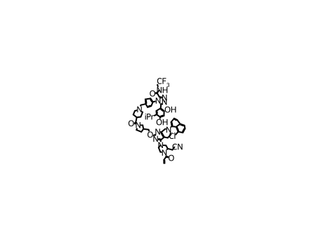 C=CC(=O)N1CCN(c2nc(OCC3CCN(C(=O)C4CCN(Cc5ccc(-n6c(C(=O)NCC(F)(F)F)nnc6-c6cc(C(C)C)c(O)cc6O)cc5)CC4)C3)nc3c2CCN(c2cccc4cccc(Cl)c24)C3)CC1CC#N